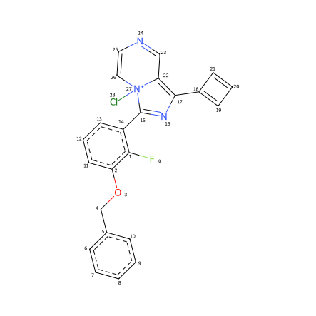 Fc1c(OCc2ccccc2)cccc1C1=NC(C2=CC=C2)=C2C=NC=C[N+]12Cl